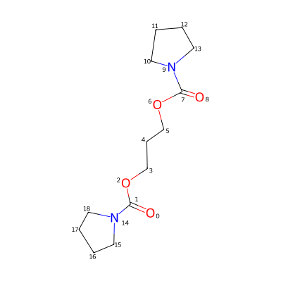 O=C(OCCCOC(=O)N1CCCC1)N1CCCC1